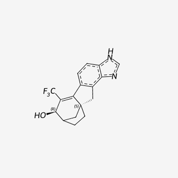 O[C@H]1C(C(F)(F)F)=C2c3ccc4[nH]cnc4c3C[C@@]23CCC1C3